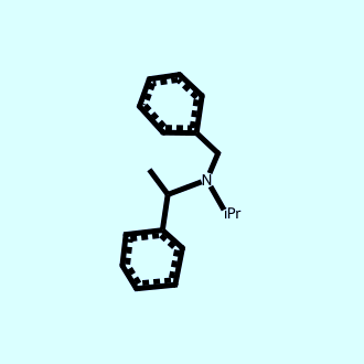 CC(C)N(Cc1ccccc1)C(C)c1ccccc1